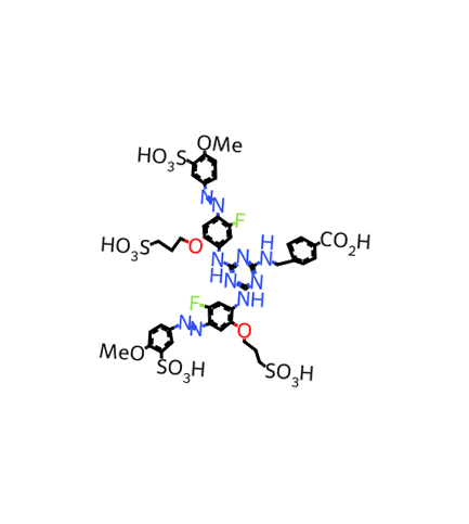 COc1ccc(N=Nc2cc(OCCCS(=O)(=O)O)c(Nc3nc(NCc4ccc(C(=O)O)cc4)nc(Nc4cc(F)c(N=Nc5ccc(OC)c(S(=O)(=O)O)c5)cc4OCCCS(=O)(=O)O)n3)cc2F)cc1S(=O)(=O)O